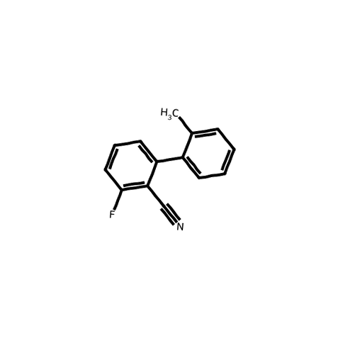 Cc1ccccc1-c1cccc(F)c1C#N